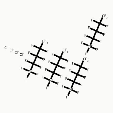 FC(F)(F)C(F)(F)C(F)(F)C(F)(F)[N+](F)(F)F.FC(F)(F)C(F)(F)C(F)(F)C(F)(F)[N+](F)(F)F.FC(F)(F)C(F)(F)C(F)(F)C(F)(F)[N+](F)(F)F.FC(F)(F)C(F)(F)C(F)(F)C(F)(F)[N+](F)(F)F.[Cl-].[Cl-].[Cl-].[Cl-]